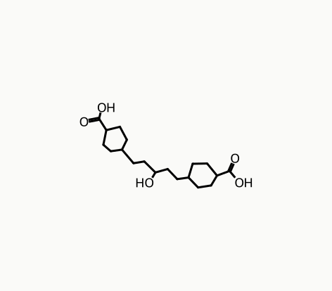 O=C(O)C1CCC(CCC(O)CCC2CCC(C(=O)O)CC2)CC1